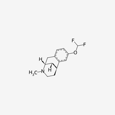 CN1CC[C@]23CCCC[C@H]2[C@H]1Cc1ccc(OC(F)F)cc13